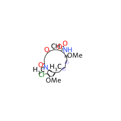 COc1cc2cc(c1Cl)N(C)C(=O)CCC1OC1C(C)C1CC(NC(=O)O1)[C@H](OC)/C=C/C=C(\C)C2